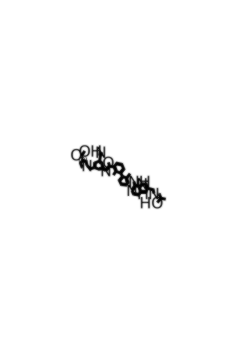 Cc1c(Nc2nccc3cc(CNCC(C)O)cnc23)cccc1-c1cccc(-c2nc3cc(CN4CC[C@@H](C(=O)O)C4)cc(C#N)c3o2)c1C